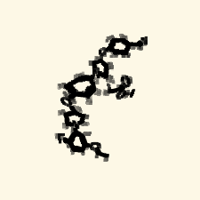 CCOc1ccc(F)c(N2CCC(Oc3ccc(N4C[C@H](Oc5ccc(C#N)cc5)C[C@@H]4CC(=O)O)cc3)CC2)c1